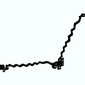 CCCCCCCCCCCCCCCC[Se](Cl)(Cl)(Cl)(Cl)CCCCCCCCCCCCCCCC